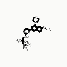 COc1ccc2cc(-c3ccnc(NCC(C)(C)CN(C)C)n3)cc(N3CCOCC3)c2c1